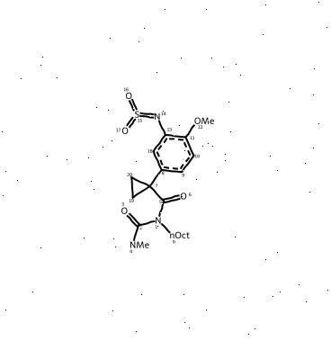 CCCCCCCCN(C(=O)NC)C(=O)C1(c2ccc(OC)c(N=S(=O)=O)c2)CC1